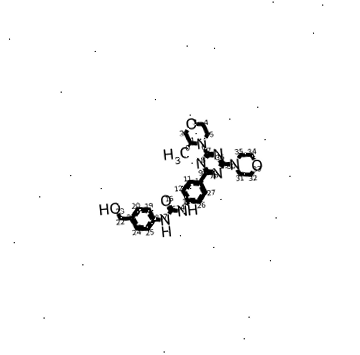 C[C@H]1COCCN1c1nc(-c2ccc(NC(=O)Nc3ccc(CO)cc3)cc2)nc(N2CCOCC2)n1